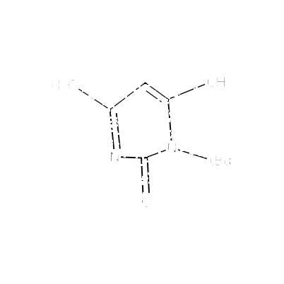 Cc1cc(C)n(C(C)(C)C)c(=O)n1